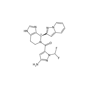 Nc1cc(C(=O)N2CCc3[nH]cnc3[C@H]2c2cc3ccccn3n2)n(C(F)F)n1